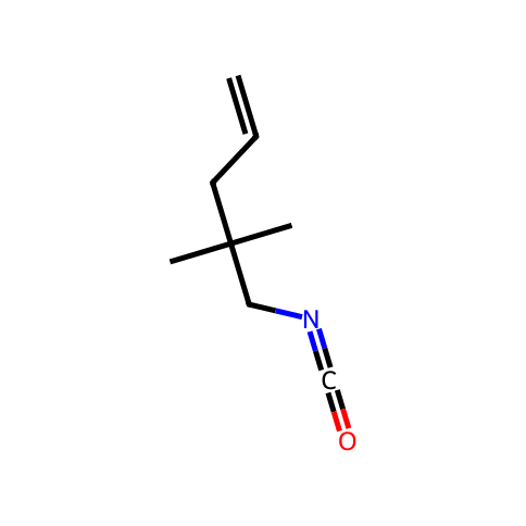 C=CCC(C)(C)CN=C=O